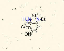 CCN(CC)c1ccc(N=O)c(C(C)=O)c1N